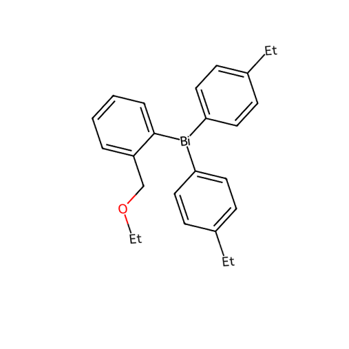 CCOCc1cccc[c]1[Bi]([c]1ccc(CC)cc1)[c]1ccc(CC)cc1